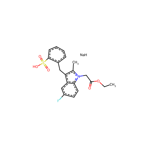 CCOC(=O)Cn1c(C)c(Cc2ccccc2S(=O)(=O)O)c2cc(F)ccc21.[NaH]